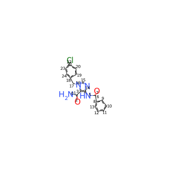 NC(=O)c1c(NC(=O)c2ccccc2)ncn1Cc1ccc(Cl)cc1